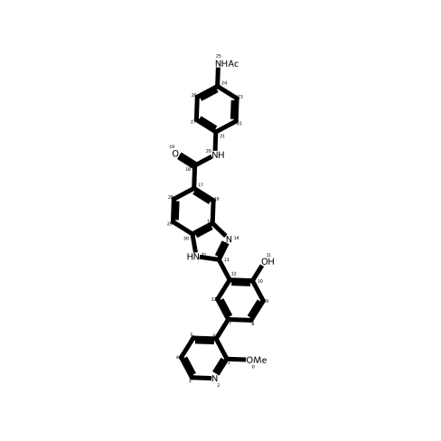 COc1ncccc1-c1ccc(O)c(-c2nc3cc(C(=O)Nc4ccc(NC(C)=O)cc4)ccc3[nH]2)c1